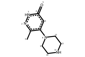 Cc1n[nH]c(=O)cc1N1CCNCC1